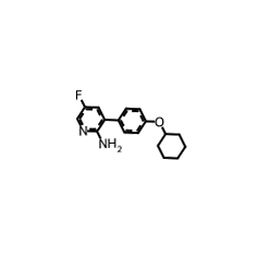 Nc1ncc(F)cc1-c1ccc(OC2CCCCC2)cc1